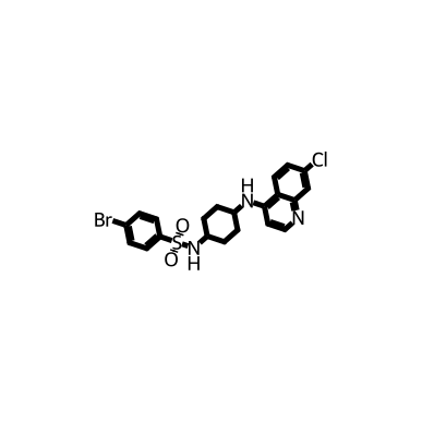 O=S(=O)(NC1CCC(Nc2ccnc3cc(Cl)ccc23)CC1)c1ccc(Br)cc1